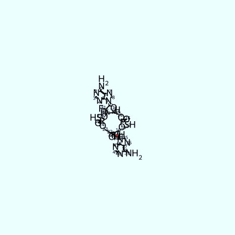 Nc1ncnc2c1ncn2[C@@H]1O[C@@H]2CO[P@@](=O)(S)O[C@@H]3[C@H](F)C(CO[P@@](=O)(S)O[C@H]2[C@H]1F)O[C@H]3n1cnc2c(N)ncnc21